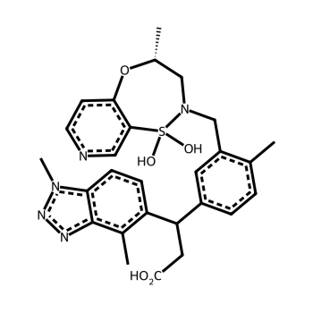 Cc1ccc(C(CC(=O)O)c2ccc3c(nnn3C)c2C)cc1CN1C[C@@H](C)Oc2ccncc2S1(O)O